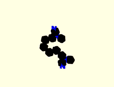 c1ccc(-n2c3ccncc3c3cc(-c4cccc(-c5cccc(-c6cccc(-c7cccc(-c8ccc9c(c8)c8ccncc8n9-c8ccccc8)c7)c6)c5)c4)ccc32)cc1